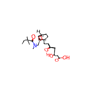 CCC(C)(C)C(=O)N(C)C[C@H]1C[C@@H]2CC[C@@]1(CCC(=O)CC(O)CC(=O)O)O2